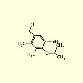 Cc1c(CCl)cc([SiH3])c(OC(C)C)c1C